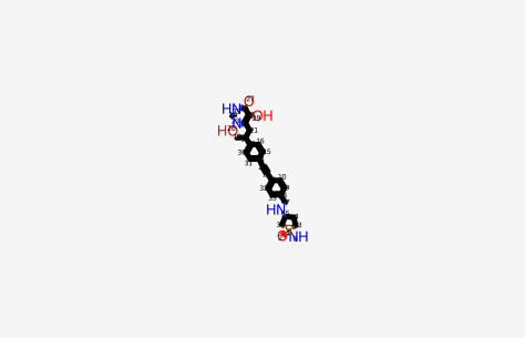 N=S1(=O)CCC(NCc2ccc(C#Cc3ccc(C(CO)Cc4nc[nH]c(=O)c4O)cc3)cc2)C1